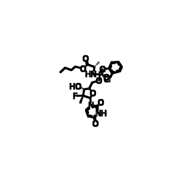 CCCCOC(=O)[C@H](C)NP(=O)(OCC1OC(n2ccc(=O)[nH]c2=O)[C@](C)(F)[C@@H]1O)Oc1ccccc1Cl